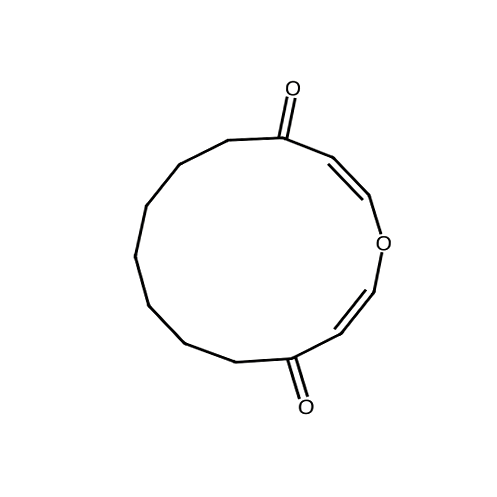 O=C1C=COC=CC(=O)CCCCCCC1